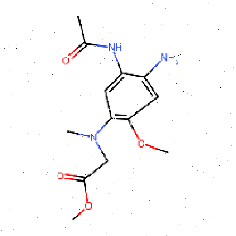 COC(=O)CN(C)c1cc(NC(C)=O)c(N)cc1OC